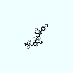 C=Cc1c(/C=C(\C)NC(=O)c2cc(CNC(=O)C3(C)CC3)cnc2CCF)cc(-c2ccc(Cl)cc2)n1CC